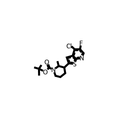 CC1C(c2cc3c(Cl)c(F)cnc3s2)CCCN1C(=O)OC(C)(C)C